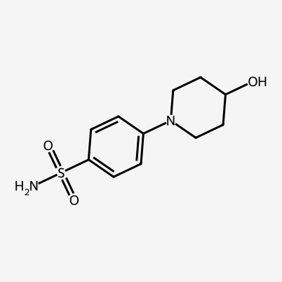 NS(=O)(=O)c1ccc(N2CCC(O)CC2)cc1